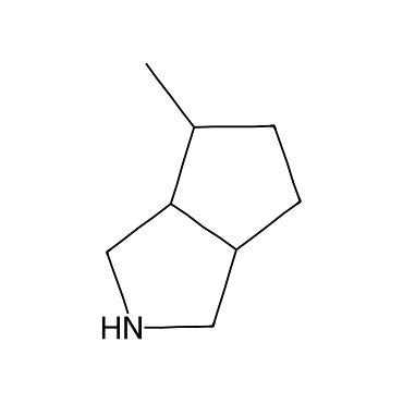 CC1CCC2CNCC12